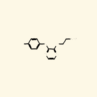 CNCCOc1nccnc1Nc1ccc(C(F)(F)F)cc1